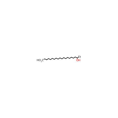 CCC(O)CCCCCCCCCCCCCCCCCC(=O)O